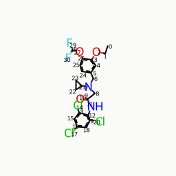 CCOc1cc(CN(CC(=O)Nc2c(Cl)cc(Cl)cc2Cl)C2CC2)ccc1OC(F)F